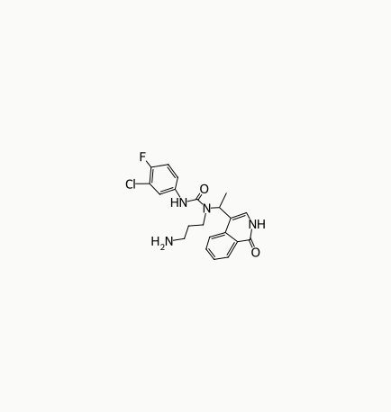 CC(c1c[nH]c(=O)c2ccccc12)N(CCCN)C(=O)Nc1ccc(F)c(Cl)c1